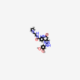 COc1ccc(Nc2ncc3c(n2)-c2ccc(C(=O)NCCCN4CCCC4)cc2NC(=O)C3)cc1OC